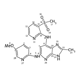 COc1ccc(Nc2cc(Nc3ncccc3S(C)(=O)=O)c3nc(C)[nH]c3n2)nc1